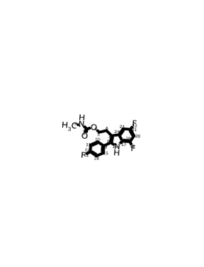 CNC(=O)OCCc1c(-c2ccc(F)cc2)[nH]c2c(F)cc(F)cc12